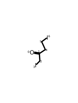 O=C(CI)CCI